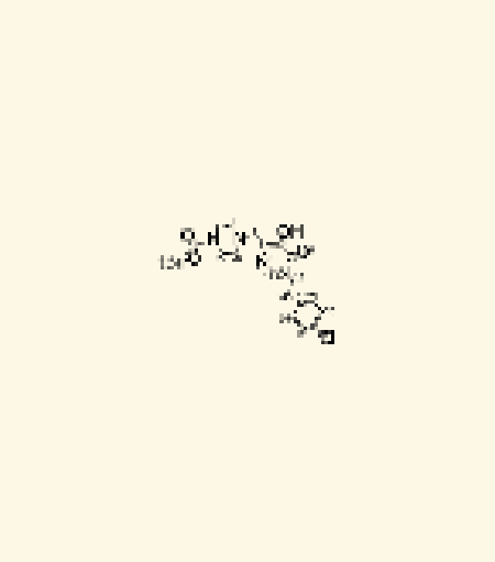 CC(C)(C)OC(=O)N1CCN(Cc2ncn(CCc3ccc(Cl)cc3)c(=O)c2O)CC1